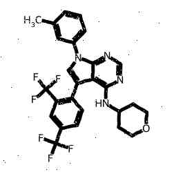 Cc1cccc(-n2cc(-c3ccc(C(F)(F)F)cc3C(F)(F)F)c3c(NC4CCOCC4)ncnc32)c1